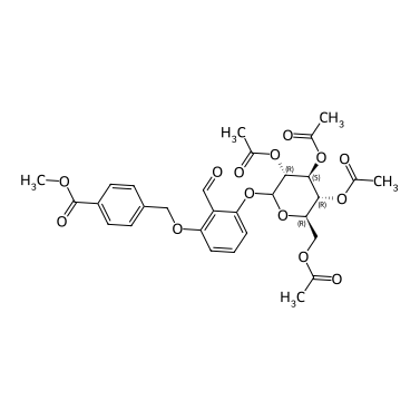 COC(=O)c1ccc(COc2cccc(OC3O[C@H](COC(C)=O)[C@@H](OC(C)=O)[C@H](OC(C)=O)[C@H]3OC(C)=O)c2C=O)cc1